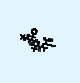 CCCCC(=C[C@@H](NC(=O)[C@@H](NC(=O)[C@@H](N(C)C(=O)OC(C)(C)C)C(C)(C)c1ccccc1)C(C)(C)C)C(C)C)C(=O)O